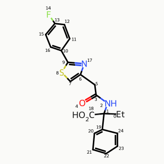 CCC(NC(=O)Cc1csc(-c2ccc(F)cc2)n1)(C(=O)O)c1ccccc1